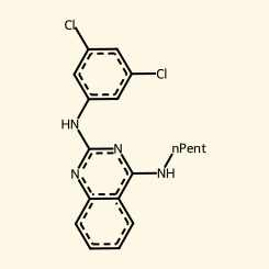 CCCCCNc1nc(Nc2cc(Cl)cc(Cl)c2)nc2ccccc12